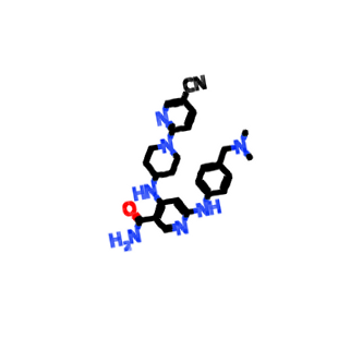 CN(C)Cc1ccc(Nc2cc(NC3CCN(c4ccc(C#N)cn4)CC3)c(C(N)=O)cn2)cc1